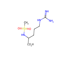 CS(=O)(=O)NC(CCCNC(=N)N)C(=O)O